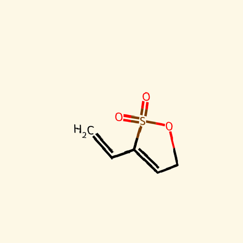 C=CC1=CCOS1(=O)=O